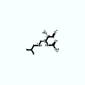 CC(C)CNC[C@H](NC(=O)O)[C@H](O)C=O